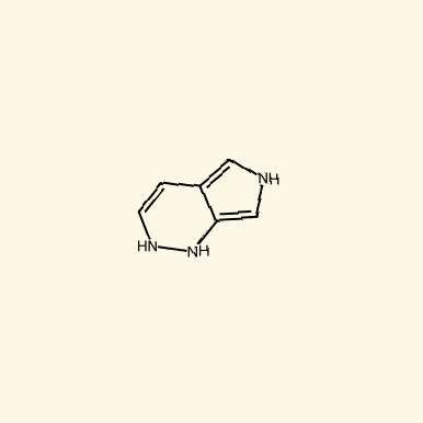 C1=Cc2c[nH]cc2NN1